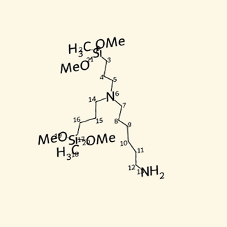 CO[Si](C)(CCCN(CCCCCCN)CCC[Si](C)(OC)OC)OC